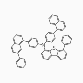 c1ccc(-c2ccc3cccc(-c4ccc(N(c5ccc(-c6cccc7ccccc67)cc5)c5cccc6c5sc5c(-c7ccccc7)cccc56)cc4)c3c2)cc1